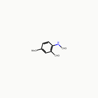 COc1ccc(NC=O)c(C=O)c1